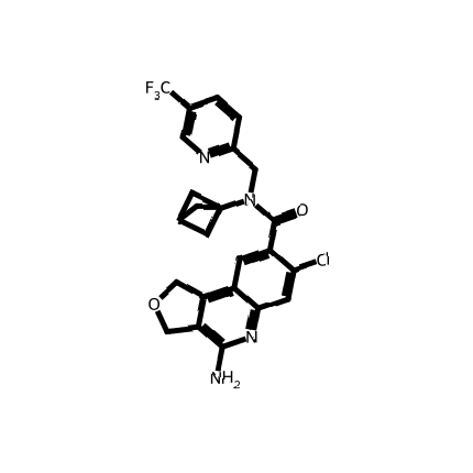 Nc1nc2cc(Cl)c(C(=O)N(Cc3ccc(C(F)(F)F)cn3)C34CC(C3)C4)cc2c2c1COC2